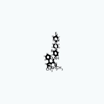 CON=C(C(=O)Nc1ccc(N2CCN(c3ncc(F)cn3)CC2)c(F)c1)c1c(-c2ccccc2)cc(C)n1C